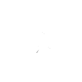 C=C[C@H]1CN(C)CCN1C